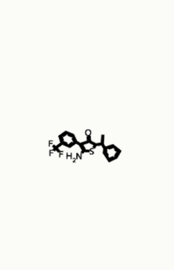 CC(c1ccccc1)C1SC(N)=C(c2cccc(C(F)(F)F)c2)C1=O